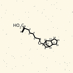 C=C(CCCCCOC1CC2CC1C1CCCC21)C(=O)O